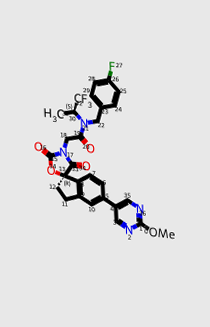 COc1ncc(-c2ccc3c(c2)CC[C@@]32OC(=O)N(CC(=O)N(Cc3ccc(F)cc3)[C@@H](C)C(F)(F)F)C2=O)cn1